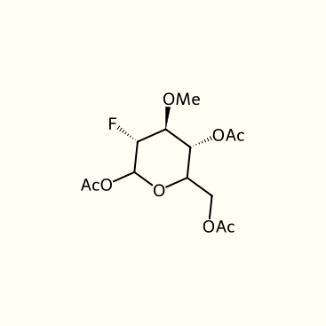 CO[C@H]1[C@H](OC(C)=O)C(COC(C)=O)OC(OC(C)=O)[C@@H]1F